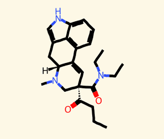 CCCC(=O)[C@@]1(C(=O)N(CC)CC)C=C2c3cccc4[nH]cc(c34)C[C@H]2N(C)C1